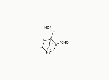 O=CC1CN2CCC1(CO)CC2